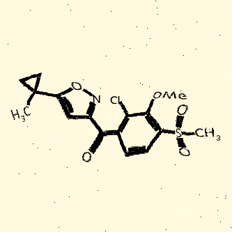 COc1c(S(C)(=O)=O)ccc(C(=O)c2cc(C3(C)CC3)on2)c1Cl